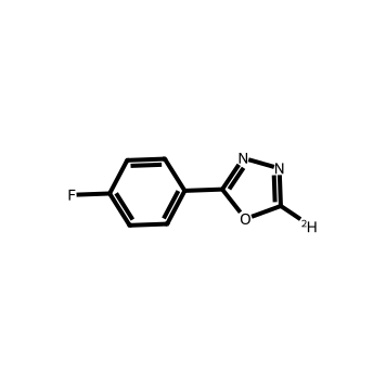 [2H]c1nnc(-c2ccc(F)cc2)o1